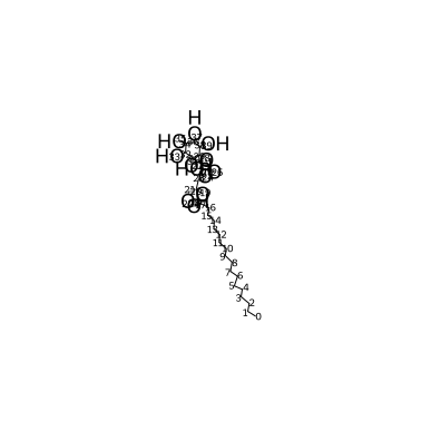 CCCCCCCCCCCCCCCCCC(=O)O[C@H](CO)COP(=O)(O)OC1C(O)C(O)C(O)C(O)C1O